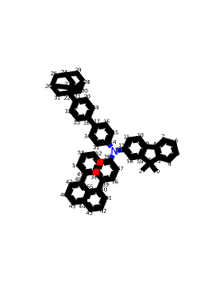 CC1(C)c2ccccc2-c2ccc(N(c3ccc(-c4ccc(C56CC7CC(CC(C7)C5)C6)cc4)cc3)c3ccc(-c4cccc5cccc(-c6ccccc6)c45)cc3)cc21